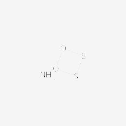 N.O1OSS1